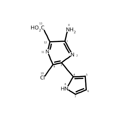 Nc1nc(-c2ccc[nH]2)c(Cl)nc1C(=O)O